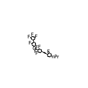 CCCc1ccc(C#Cc2cc(F)c(C(F)(F)Oc3ccc(-c4cc(F)c(F)c(F)c4)c(F)c3)c(F)c2)c(F)c1